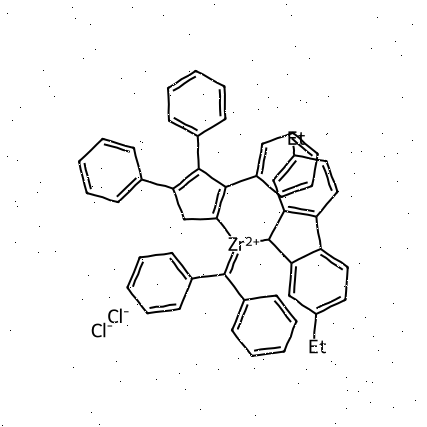 CCc1ccc2c(c1)[CH]([Zr+2]([C]1=C(c3ccccc3)C(c3ccccc3)=C(c3ccccc3)C1)=[C](c1ccccc1)c1ccccc1)c1cc(CC)ccc1-2.[Cl-].[Cl-]